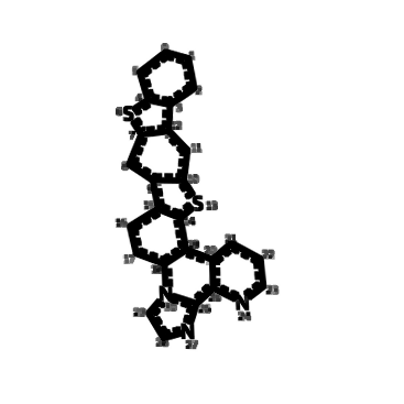 c1ccc2c(c1)sc1cc3c(cc12)sc1c3ccc2c1c1cccnc1c1nccn21